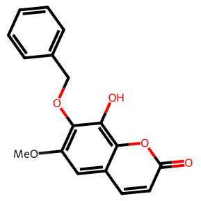 COc1cc2ccc(=O)oc2c(O)c1OCc1ccccc1